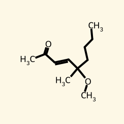 CCCCC(C)(C=CC(C)=O)OC